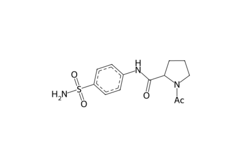 CC(=O)N1CCCC1C(=O)Nc1ccc(S(N)(=O)=O)cc1